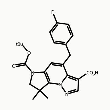 CC(C)(C)OC(=O)N1CC(C)(C)c2c1cc(Cc1ccc(F)cc1)c1c(C(=O)O)cnn21